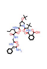 CCCC(NC(=O)[C@@H]1C[C@@H](OC(C)(C)C)CN1C(=O)[C@@H](NC(=O)c1ccccc1C(=O)O)C(C)(C)C)C(=O)C(=O)NCC(=O)N[C@H](C(N)=O)c1ccccc1